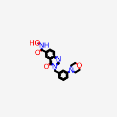 O=C(NO)c1ccc2ncn(Cc3cccc(N4CCOCC4)c3)c(=O)c2c1